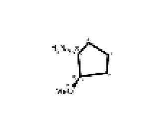 CO[C@@H]1CCC[C@H]1N